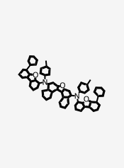 Cc1ccc(N(c2cc3oc4cc(N(c5ccc(C)cc5)c5cccc6c5oc5c(-c7ccccc7)cccc56)c5ccccc5c4c3c3ccccc23)c2cccc3c2oc2c(-c4ccccc4)cccc23)cc1